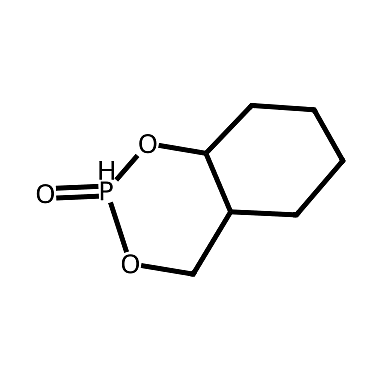 O=[PH]1OCC2CCCCC2O1